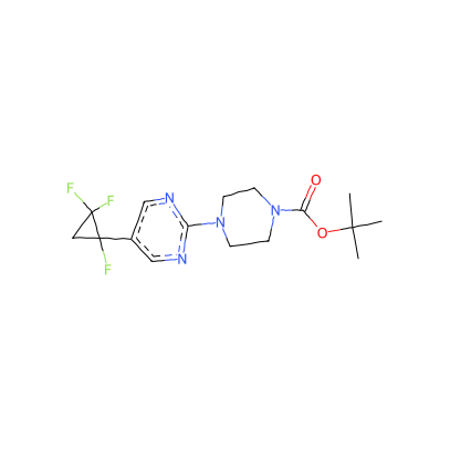 CC(C)(C)OC(=O)N1CCN(c2ncc(C3(F)CC3(F)F)cn2)CC1